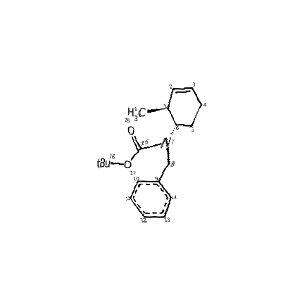 C[C@H]1C=CCC[C@@H]1N(Cc1ccccc1)C(=O)OC(C)(C)C